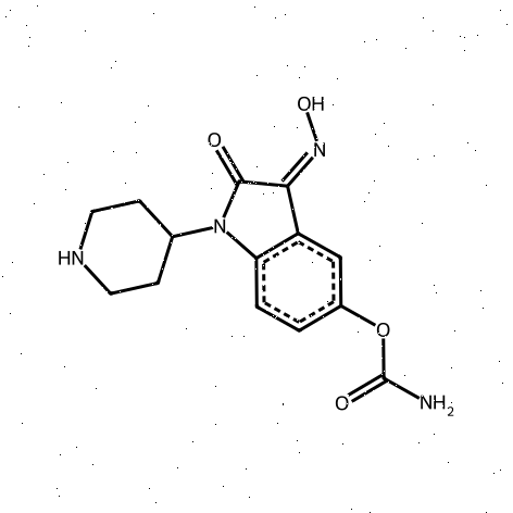 NC(=O)Oc1ccc2c(c1)/C(=N/O)C(=O)N2C1CCNCC1